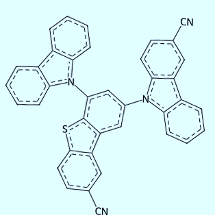 N#Cc1ccc2sc3c(-n4c5ccccc5c5ccccc54)cc(-n4c5ccccc5c5cc(C#N)ccc54)cc3c2c1